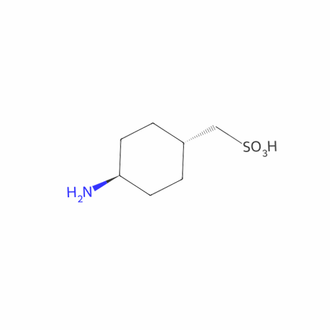 N[C@H]1CC[C@H](CS(=O)(=O)O)CC1